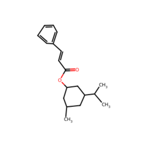 CC1CC(OC(=O)/C=C/c2ccccc2)CC(C(C)C)C1